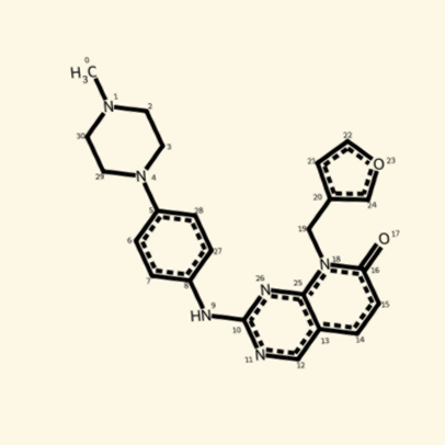 CN1CCN(c2ccc(Nc3ncc4ccc(=O)n(Cc5ccoc5)c4n3)cc2)CC1